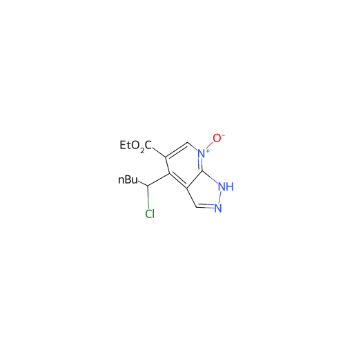 CCCCC(Cl)c1c(C(=O)OCC)c[n+]([O-])c2[nH]ncc12